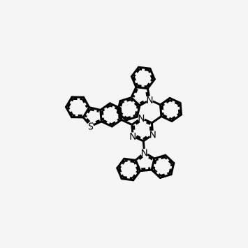 c1ccc(-n2c3ccccc3c3ccccc32)c(-c2nc(-c3ccc4c(c3)sc3ccccc34)nc(-n3c4ccccc4c4ccccc43)n2)c1